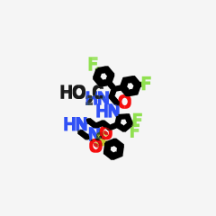 O=C(O)N[C@@H](C(=O)NC1CC(F)(F)CC1CCC1CNCCN1S(=O)(=O)c1ccccc1)C(c1ccc(F)cc1)c1ccc(F)cc1